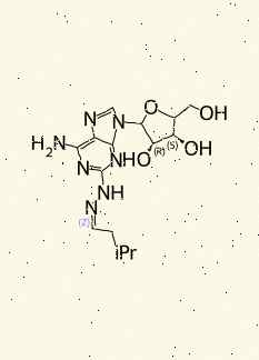 CC(C)C/C=N\Nc1nc(N)c2ncn(C3OC(CO)[C@@H](O)[C@H]3O)c2n1